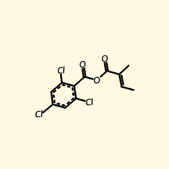 CC=C(C)C(=O)OC(=O)c1c(Cl)cc(Cl)cc1Cl